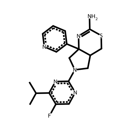 CC(C)c1nc(N2CC3CSC(N)=NC3(c3cccnc3)C2)ncc1F